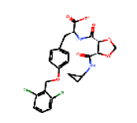 O=C(O)[C@H](Cc1ccc(OCc2c(Cl)cccc2Cl)cc1)NC(=O)[C@@H]1OCO[C@H]1C(=O)NC1CC1